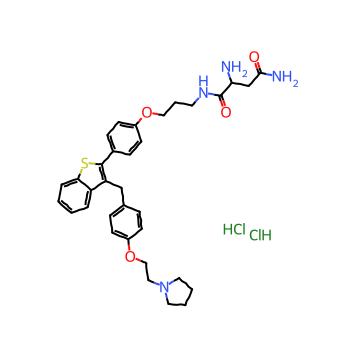 Cl.Cl.NC(=O)CC(N)C(=O)NCCCOc1ccc(-c2sc3ccccc3c2Cc2ccc(OCCN3CCCC3)cc2)cc1